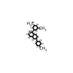 Cc1ccc(-c2ccc3c(-c4cc(C)cc(C)c4)nccc3c2)cc1